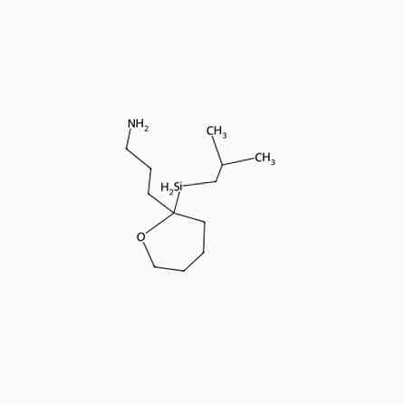 CC(C)C[SiH2]C1(CCCN)CCCCO1